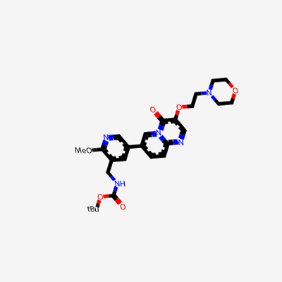 COc1ncc(-c2ccc3ncc(OCCN4CCOCC4)c(=O)n3c2)cc1CNC(=O)OC(C)(C)C